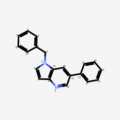 c1ccc(Cn2ccc3ncc(-c4ccccc4)cc32)cc1